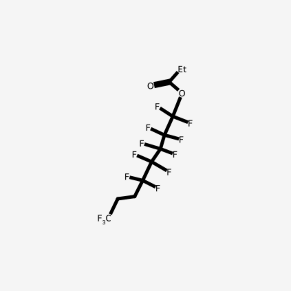 CCC(=O)OC(F)(F)C(F)(F)C(F)(F)C(F)(F)C(F)(F)CCC(F)(F)F